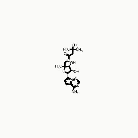 CC(C)(C)CC(=O)OC[C@@]1(C)O[C@@H](c2ccc3c(N)ncnn23)[C@H](O)[C@@H]1O